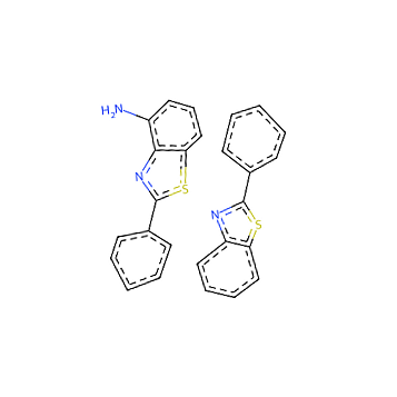 Nc1cccc2sc(-c3ccccc3)nc12.c1ccc(-c2nc3ccccc3s2)cc1